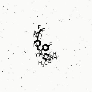 CC1=CN(C(=O)N(Cc2ccc(-c3nnc(C(F)F)o3)cn2)c2ccc(F)cc2)C=C(C)S1(=N)=O